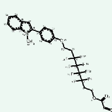 C=CC(=O)OCCC(F)(F)C(F)(F)C(F)(F)C(F)(F)CCOc1ccc(-c2cc3ccccc3n2C)cc1